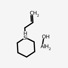 C=CC[SiH]1CCCCC1.[OH][AlH2]